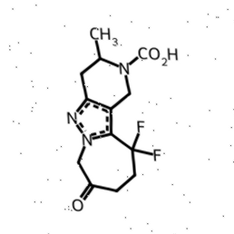 CC1Cc2nn3c(c2CN1C(=O)O)C(F)(F)CCC(=O)C3